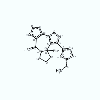 NCc1noc(-c2ncn3c2[C@@H]2CCCN2C(=O)c2sccc2-3)n1